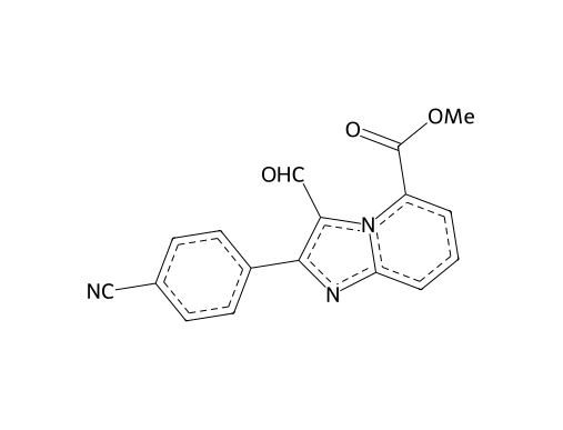 COC(=O)c1cccc2nc(-c3ccc(C#N)cc3)c(C=O)n12